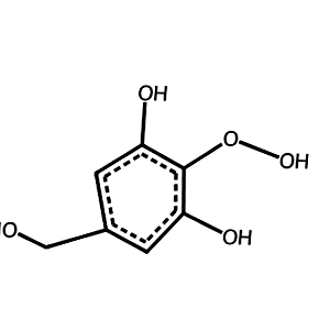 OCc1cc(O)c(OO)c(O)c1